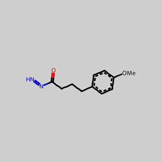 COc1ccc(CCCC(=O)N=N)cc1